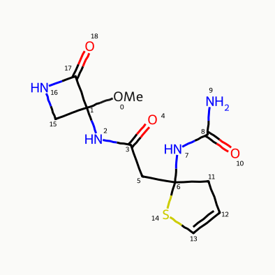 COC1(NC(=O)CC2(NC(N)=O)CC=CS2)CNC1=O